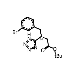 CC(C)(C)OC(=O)C[C@H](Cc1cccc(Br)c1)c1nnn[nH]1